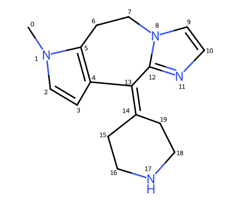 Cn1ccc2c1CCn1ccnc1C2=C1CCNCC1